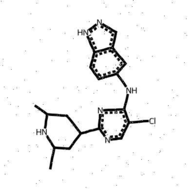 CC1CC(c2ncc(Cl)c(Nc3ccc4[nH]ncc4c3)n2)CC(C)N1